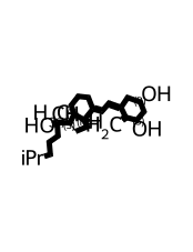 C=C1C(=CC=C2CCC[C@@]3(C)[C@H]2CC[C@@H]3[C@@](C)(O)CCCC(C)C)C[C@@H](O)C[C@@H]1O